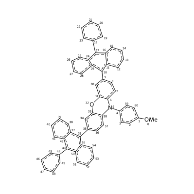 COc1ccc(N2c3ccc(-c4c5ccccc5c(-c5ccccc5)c5ccccc45)cc3Oc3cc(-c4c5ccccc5c(-c5ccccc5)c5ccccc45)ccc32)cc1